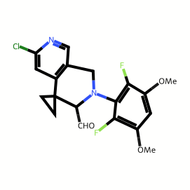 COc1cc(OC)c(F)c(N2Cc3cnc(Cl)cc3C3(CC3)C2C=O)c1F